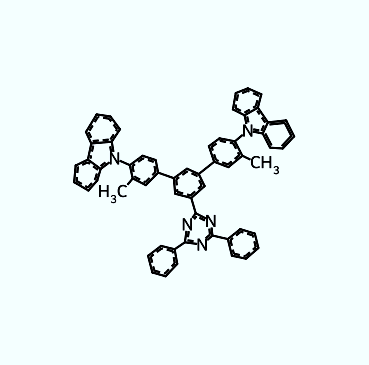 Cc1cc(-c2cc(-c3ccc(-n4c5ccccc5c5ccccc54)c(C)c3)cc(-c3nc(-c4ccccc4)nc(-c4ccccc4)n3)c2)ccc1-n1c2c(c3ccccc31)=C=C=CC=2